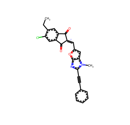 CCc1cc2c(cc1Cl)C(=O)/C(=C\c1cc3c(nc(C#Cc4ccccc4)n3C)o1)C2=O